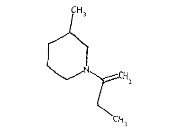 C=C(CC)N1CCCC(C)C1